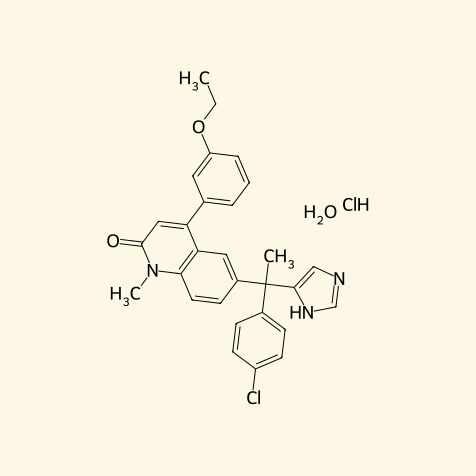 CCOc1cccc(-c2cc(=O)n(C)c3ccc(C(C)(c4ccc(Cl)cc4)c4cnc[nH]4)cc23)c1.Cl.O